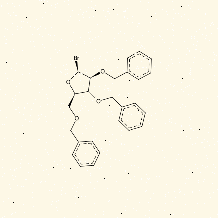 Br[C@@H]1O[C@H](COCc2ccccc2)[C@@H](OCc2ccccc2)[C@@H]1OCc1ccccc1